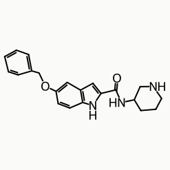 O=C(NC1CCCNC1)c1cc2cc(OCc3ccccc3)ccc2[nH]1